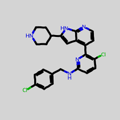 Clc1ccc(CNc2ccc(Cl)c(-c3ccnc4[nH]c(C5CCNCC5)cc34)n2)cc1